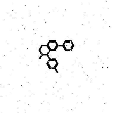 Cc1ccc(C2c3cc(-c4cncnc4)ccc3CCN2C)cc1